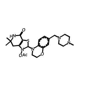 CC(=O)ON1C2=C(SC1N1CCOc3cc(CN4CCN(C)CC4)ccc31)C(=O)NC(C)(C)C2